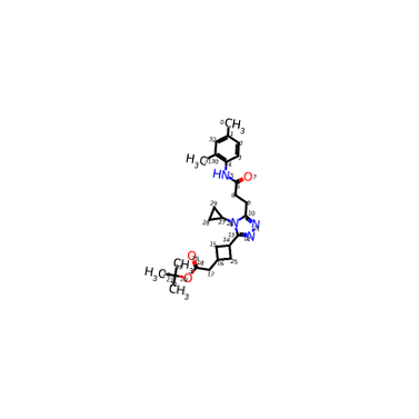 Cc1ccc(NC(=O)CCc2nnc(C3CC(CC(=O)OC(C)(C)C)C3)n2C2CC2)c(C)c1